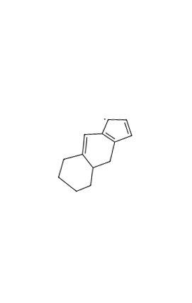 [CH]1C=CC2=C1C=C1CCCCC1C2